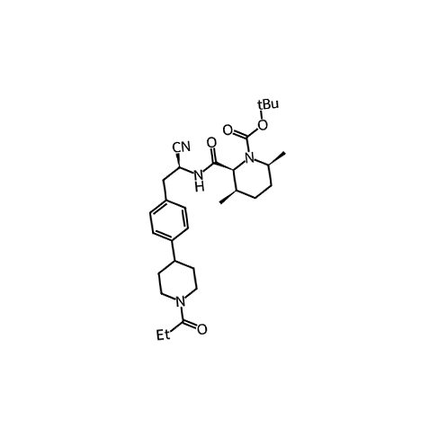 CCC(=O)N1CCC(c2ccc(C[C@@H](C#N)NC(=O)[C@@H]3[C@H](C)CC[C@H](C)N3C(=O)OC(C)(C)C)cc2)CC1